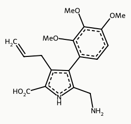 C=CCc1c(C(=O)O)[nH]c(CN)c1-c1ccc(OC)c(OC)c1OC